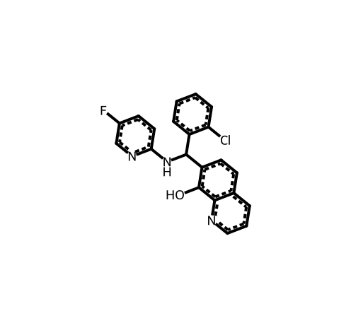 Oc1c(C(Nc2ccc(F)cn2)c2ccccc2Cl)ccc2cccnc12